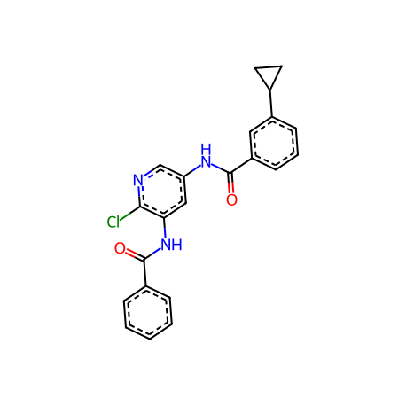 O=C(Nc1cnc(Cl)c(NC(=O)c2ccccc2)c1)c1cccc(C2CC2)c1